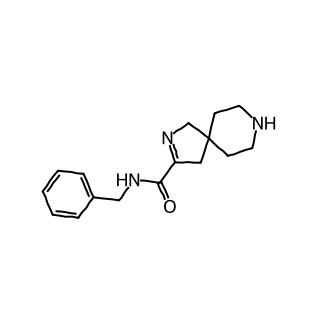 O=C(NCc1ccccc1)C1=NCC2(CCNCC2)C1